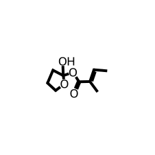 CC=C(C)C(=O)OC1(O)CCCO1